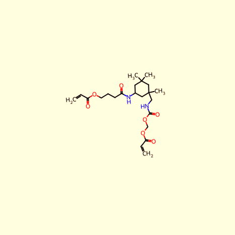 C=CC(=O)OCCCC(=O)NC1CC(C)(C)CC(C)(CNC(=O)OCOC(=O)C=C)C1